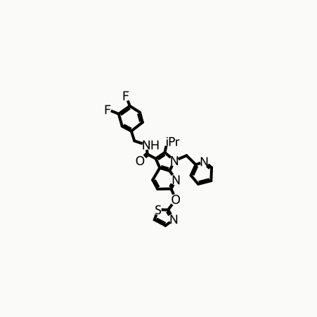 CC(C)c1c(C(=O)NCc2ccc(F)c(F)c2)c2ccc(Oc3nccs3)nc2n1Cc1ccccn1